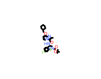 Cc1nc2c(OCC3CCCCC3)cccn2c1C(=O)NC(CNC(=O)OC(C)(C)C)c1ccc(F)cc1F